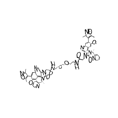 COc1cc2c(cc1-c1c(C)noc1C)ncc1c2n([C@H](C)c2ccccn2)c(=O)n1CC(=O)NCCOCCOCCNC(=O)Cn1c(=O)n([C@H](C)c2ccccn2)c2c3cc(OC)c(-c4c(C)noc4C)cc3ncc21